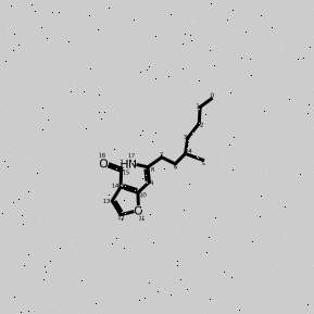 CCCCC(C)CCc1cc2occc2c(=O)[nH]1